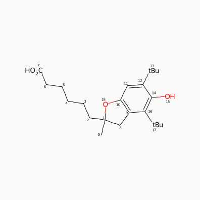 CC1(CCCCCC(=O)O)Cc2c(cc(C(C)(C)C)c(O)c2C(C)(C)C)O1